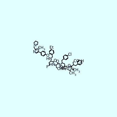 CCc1ccc(CNC(CCF)C(=O)NC(COC)C(=O)N(C)C(CC(=O)NCC(C)N(C)C(=O)C(CC(=O)O)Cc2ccccc2)Cc2ccc(Cl)cc2)c(Oc2ccc(-c3cnc(CN4CCCC4)n3C)cc2)c1